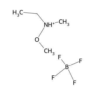 CC[NH+](C)OC.F[B-](F)(F)F